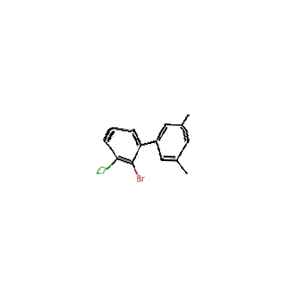 Cc1cc(C)cc(-c2cccc(Cl)c2Br)c1